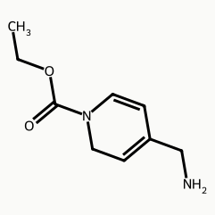 CCOC(=O)N1C=CC(CN)=CC1